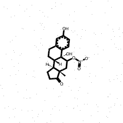 C[C@]12CC(O[N+](=O)[O-])[C@]3(O)c4ccc(O)cc4CC[C@H]3[C@@H]1CCC2=O